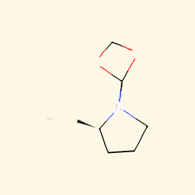 O=C(O)[C@@H]1CCCN1C1OCO1